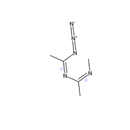 C/N=C(C)\N=C(\C)N=[N+]=[N-]